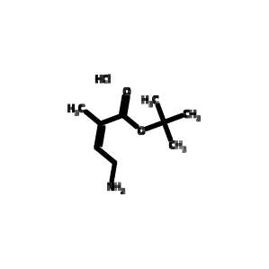 CC(=CCN)C(=O)OC(C)(C)C.Cl